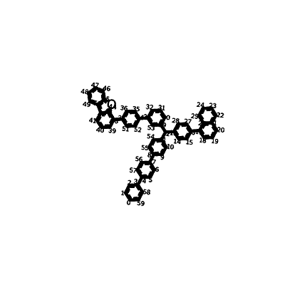 c1ccc(-c2ccc(-c3ccc(C(c4ccc(-c5cccc6ccccc56)cc4)c4cccc(-c5ccc(-c6cccc7c6oc6ccccc67)cc5)c4)cc3)cc2)cc1